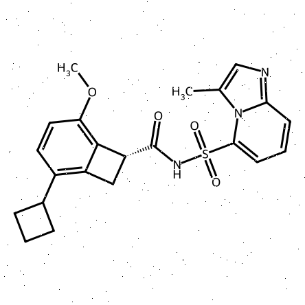 COc1ccc(C2CCC2)c2c1[C@H](C(=O)NS(=O)(=O)c1cccc3ncc(C)n13)C2